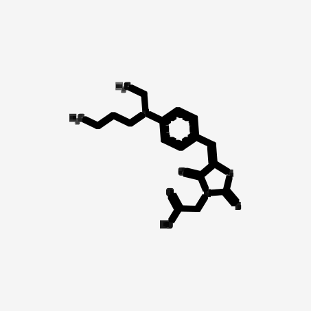 CCCCN(CC)c1ccc(C=C2SC(=S)N(CC(=O)O)C2=O)cc1